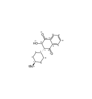 CC(C)(C)[C@H]1CC[C@H](C2C(=O)c3ccccc3C(=O)C2O)CC1